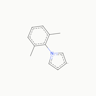 Cc1cccc(C)c1-n1c[c]cc1